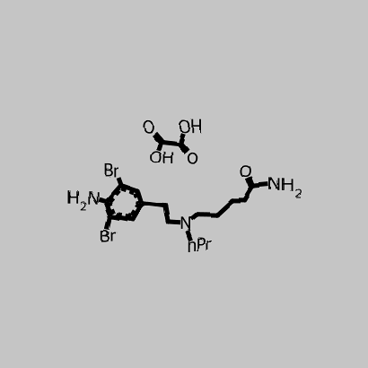 CCCN(CCCCC(N)=O)CCc1cc(Br)c(N)c(Br)c1.O=C(O)C(=O)O